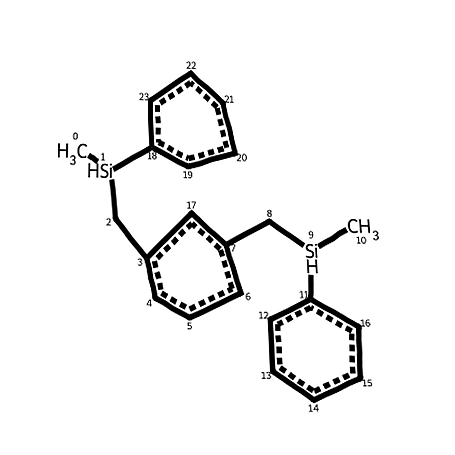 C[SiH](Cc1cccc(C[SiH](C)c2ccccc2)c1)c1ccccc1